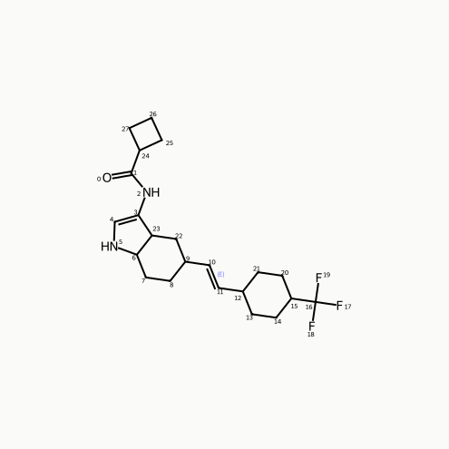 O=C(NC1=CNC2CCC(/C=C/C3CCC(C(F)(F)F)CC3)CC12)C1CCC1